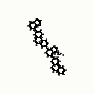 Cn1cnc2c(-c3ccc4c(ccc5cc(-c6cccc7ncoc67)ccc54)c3)ccc(-c3ccc4c(ccc5ccccc54)c3)c21